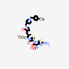 N#Cc1ccc(C[n+]2ccc(CN3CC/C(=C\C4=C(C(=O)[O-])N5C(=O)[C@@H](NC(=O)/C(=N\O)c6csc(N)n6)[C@H]5SC4)C3=O)cc2)cc1